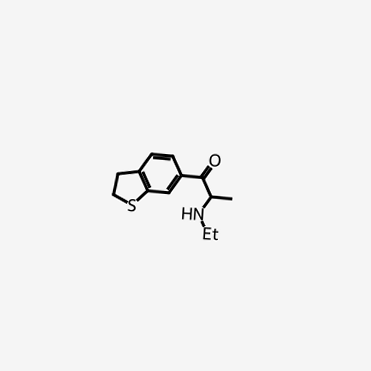 CCNC(C)C(=O)c1ccc2c(c1)SCC2